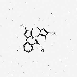 CC1=[C]([Hf+2]([C]2=C(C)C(C(C)(C)C)=CC2C)=[Si](C)c2ccccc2)C(C)C=C1C(C)(C)C.[Cl-].[Cl-]